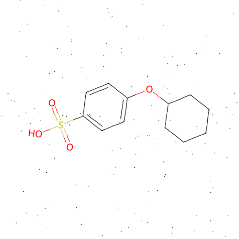 O=S(=O)(O)c1ccc(OC2CCCCC2)cc1